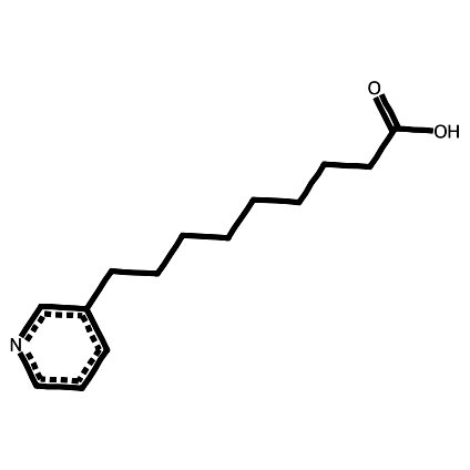 O=C(O)CCCCCCCCc1cccnc1